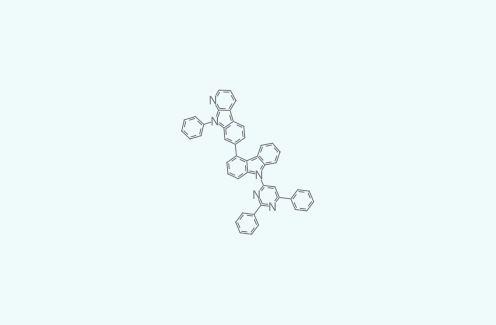 c1ccc(-c2cc(-n3c4ccccc4c4c(-c5ccc6c7cccnc7n(-c7ccccc7)c6c5)cccc43)nc(-c3ccccc3)n2)cc1